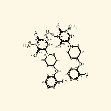 Cn1nc(N2CCC(Oc3ccccc3Cl)CC2)c(=O)n(C)c1=O.Cn1nc(N2CCC(Oc3ccccc3F)CC2)c(=O)n(C)c1=O